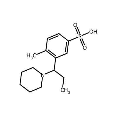 CCC(c1cc(S(=O)(=O)O)ccc1C)N1CCCCC1